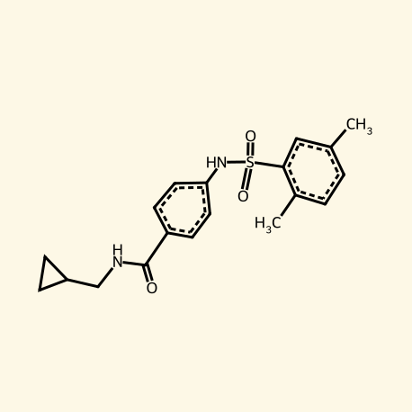 Cc1ccc(C)c(S(=O)(=O)Nc2ccc(C(=O)NCC3CC3)cc2)c1